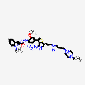 COc1cc(-c2csc3c(C=CCNCCCN4CCN(C)CC4)cnc(N)c23)ccc1NC(=O)c1cc2ccccc2n1C